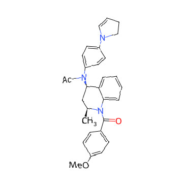 COc1ccc(C(=O)N2c3ccccc3[C@H](N(C(C)=O)c3ccc(N4C=CCC4)cc3)C[C@@H]2C)cc1